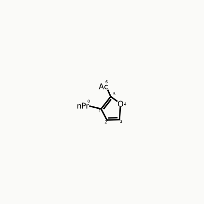 CCCc1ccoc1C(C)=O